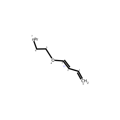 C=C/C=C/OCCCCC